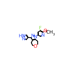 COc1ncc(-n2nc(-c3cn[nH]c3)c3c2CCOCC3)cc1F